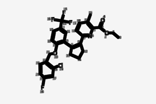 CCOC(=O)c1nc(C2=C(c3cc(C(F)(F)F)ccc3OCc3ccc(F)cc3Cl)CCC2)ccc1C